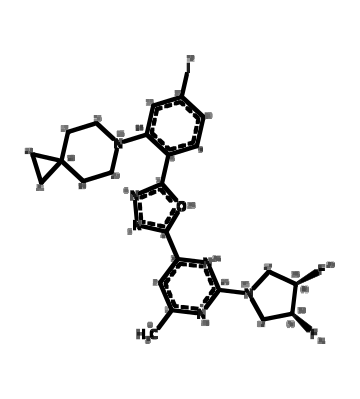 Cc1cc(-c2nnc(-c3ccc(I)cc3N3CCC4(CC3)CC4)o2)nc(N2C[C@@H](F)[C@@H](F)C2)n1